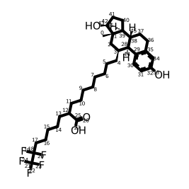 C[C@]12C[C@H](CCCCCCCCC(CCCCCC(F)(F)C(F)(F)F)C(=O)O)[C@@H]3c4ccc(O)cc4CC[C@H]3[C@@H]1CC[C@@H]2O